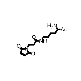 CC(=O)C(N)CCCCNC(=O)CCN1C(=O)C=CC1=O